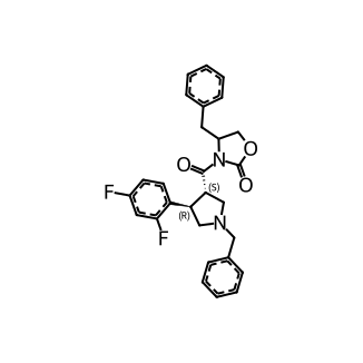 O=C1OCC(Cc2ccccc2)N1C(=O)[C@@H]1CN(Cc2ccccc2)C[C@H]1c1ccc(F)cc1F